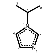 CC(C)n1ccnc1